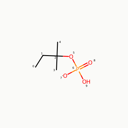 CCC(C)(C)OP([O])(=O)O